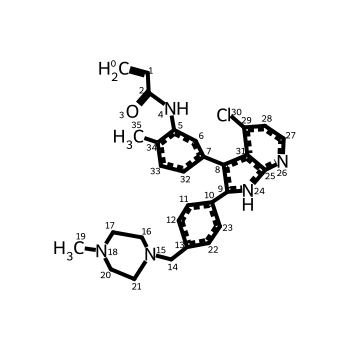 C=CC(=O)Nc1cc(-c2c(-c3ccc(CN4CCN(C)CC4)cc3)[nH]c3nccc(Cl)c23)ccc1C